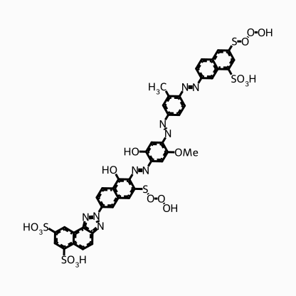 COc1cc(N=Nc2c(SOOO)cc3cc(-n4nc5ccc6c(S(=O)(=O)O)cc(S(=O)(=O)O)cc6c5n4)ccc3c2O)c(O)cc1N=Nc1ccc(N=Nc2ccc3cc(SOOO)cc(S(=O)(=O)O)c3c2)c(C)c1